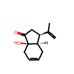 C=C(C)[C@@H]1CC(=O)[C@@]2(O)CC=CC[C@H]12